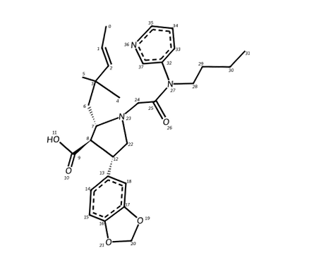 C/C=C/C(C)(C)C[C@H]1[C@H](C(=O)O)[C@@H](c2ccc3c(c2)OCO3)CN1CC(=O)N(CCCC)c1cccnc1